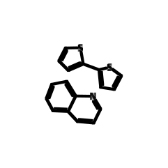 c1ccc2ncccc2c1.c1csc(-c2cccs2)c1